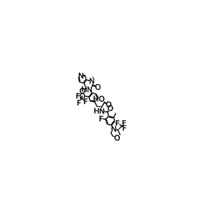 Cc1cc(N2CCOC[C@@H]2C(F)(F)F)cc(F)c1C(=O)N[C@@H](Cc1ccc(NC(=O)N(C)c2cnccc2C=O)c(OC(F)(F)F)c1)C(=O)O